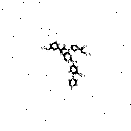 C=CC(=O)N1CC[C@H](n2c(=O)c(-c3cccc(OC)c3)nc3cnc(Nc4ccc(N5CCNCC5)c(C)c4)nc32)C1